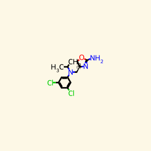 CC(C)N(C[C@H]1COC(N)=N1)c1cc(Cl)cc(Cl)c1